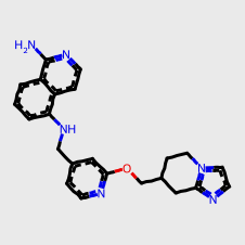 Nc1nccc2c(NCc3ccnc(OCC4CCn5ccnc5C4)c3)cccc12